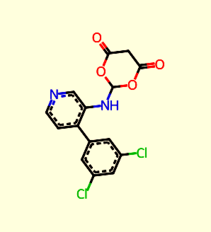 O=C1CC(=O)OC(Nc2cnccc2-c2cc(Cl)cc(Cl)c2)O1